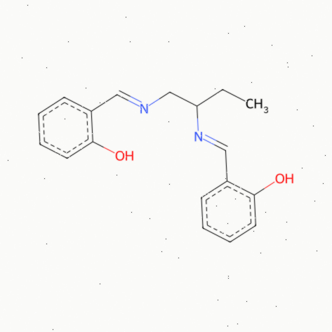 CCC(CN=Cc1ccccc1O)N=Cc1ccccc1O